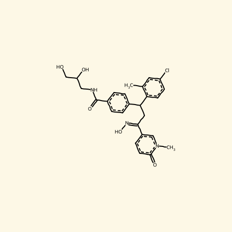 Cc1cc(Cl)ccc1C(CC(=NO)c1ccc(=O)n(C)c1)c1ccc(C(=O)NCC(O)CO)cc1